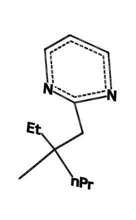 CCCC(C)(CC)Cc1ncccn1